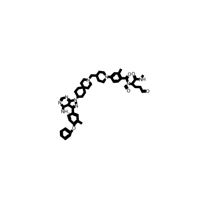 CNC(=O)C(CCC=O)N(C=O)C(=O)c1ccc(N2CCC(CN3CCC4(CCC(N5N=C(c6ccc(Oc7ccccc7)c(C)c6)C6C5=NC=NC6N)CC4)CC3)CC2)cc1C